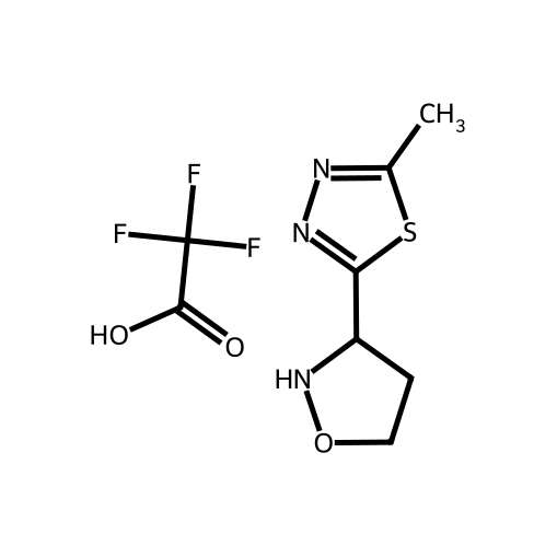 Cc1nnc(C2CCON2)s1.O=C(O)C(F)(F)F